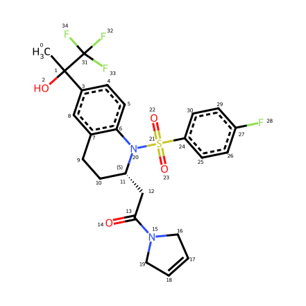 CC(O)(c1ccc2c(c1)CC[C@@H](CC(=O)N1CC=CC1)N2S(=O)(=O)c1ccc(F)cc1)C(F)(F)F